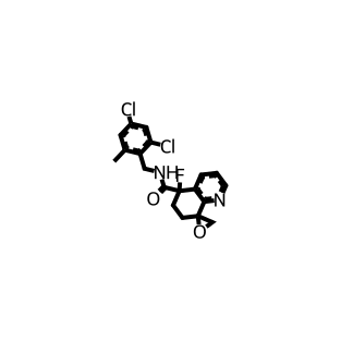 Cc1cc(Cl)cc(Cl)c1CNC(=O)C1(F)CCC2(CO2)c2ncccc21